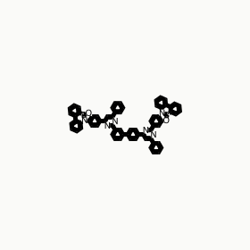 c1ccc(-c2cc(-c3ccc4c(c3)OB3c5ccccc5-c5ccccc5N34)nc(-c3cccc(-c4ccc(-c5cc(-c6ccccc6)nc(-c6ccc7c(c6)OB6c8ccccc8-c8ccccc8N67)n5)cc4)c3)n2)cc1